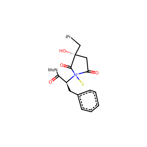 CNC(=O)[C@H](Cc1ccccc1)[N+]1([S-])C(=O)C[C@](O)(CC(C)C)C1=O